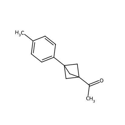 CC(=O)C12CC(c3ccc(C)cc3)(C1)C2